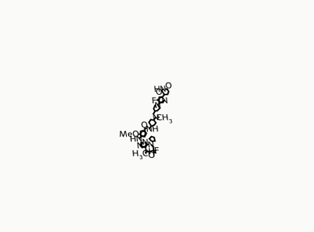 COc1cc(C(=O)NC2CCC(N(C)CC3CCN(c4cnc(C5CCC(=O)NC5=O)cc4F)CC3)CC2)ccc1Nc1ncc2c(n1)N(C1CCCC1)CC(F)(F)C(=O)N2C